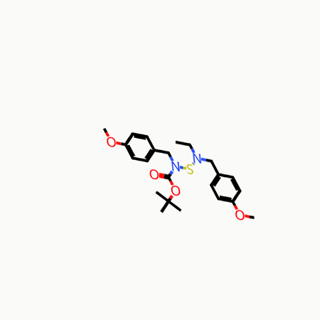 CCN(Cc1ccc(OC)cc1)SN(Cc1ccc(OC)cc1)C(=O)OC(C)(C)C